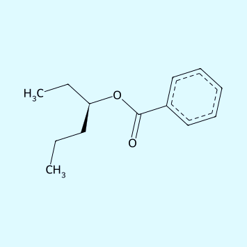 CCC[C@@H](CC)OC(=O)c1ccccc1